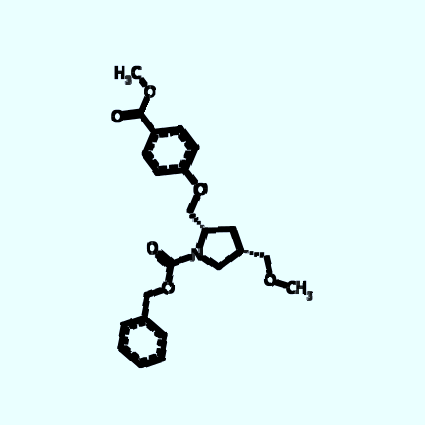 COC[C@H]1C[C@@H](COc2ccc(C(=O)OC)cc2)N(C(=O)OCc2ccccc2)C1